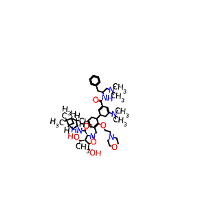 C[C@@H]1[C@@H](NC(=O)[C@@H]2[C@H]([C@H](C)O)[C@H](CO)ON2CC2=C(OCCN3CCOCC3)C(C3C=C(C(=O)NC(Cc4ccccc4)CN(C)C)C=C(N(C)C)C3)CC=C2)C[C@H]2C[C@@H]1C2(C)C